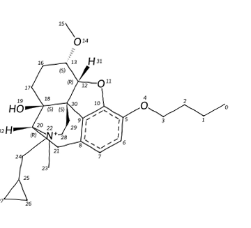 CCCCOc1ccc2c3c1O[C@H]1[C@@H](OC)CC[C@@]4(O)[C@@H](C2)[N+](C)(CC2CC2)CC[C@]314